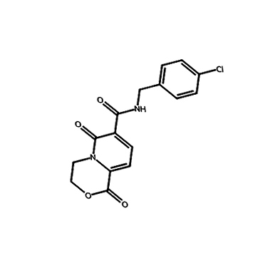 O=C(NCc1ccc(Cl)cc1)c1ccc2n(c1=O)CCOC2=O